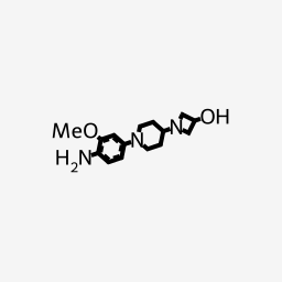 COc1cc(N2CCC(N3CC(O)C3)CC2)ccc1N